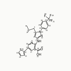 CC(C)Cc1cc(Nc2ncc(-c3cccs3)cc2C(=O)O)nn1-c1ccc(C(F)(F)F)cc1